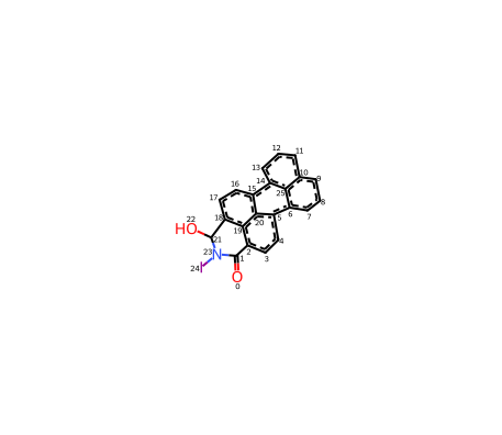 O=C1c2ccc3c4cccc5cccc(c6ccc(c2c36)C(O)N1I)c54